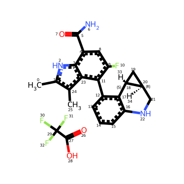 Cc1[nH]c2c(C(N)=O)cc(F)c(-c3cccc4c3[C@H]3C[C@H]3CN4)c2c1C.O=C(O)C(F)(F)F